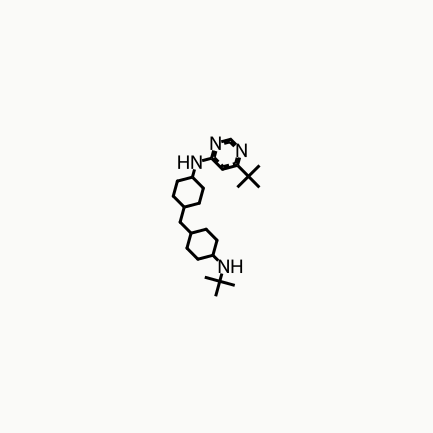 CC(C)(C)NC1CCC(CC2CCC(Nc3cc(C(C)(C)C)ncn3)CC2)CC1